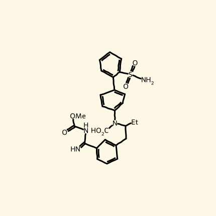 CCC(Cc1cccc(C(=N)NC(=O)OC)c1)N(C(=O)O)c1ccc(-c2ccccc2S(N)(=O)=O)cc1